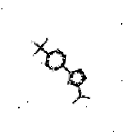 CC(C)c1ccn(-c2ccc(C(F)(F)F)cn2)n1